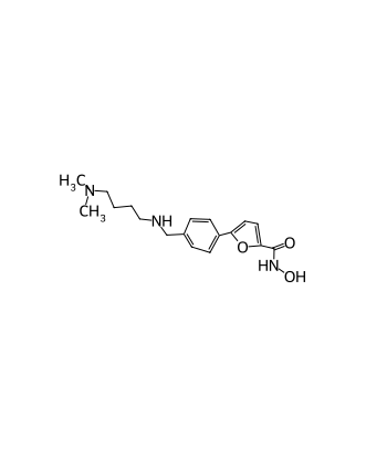 CN(C)CCCCNCc1ccc(-c2ccc(C(=O)NO)o2)cc1